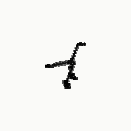 CCCCCCCC/C=C/CCCCCCCCOc1ccc(CNCCCCN(CCCCNC(=O)OC(C)(C)C)C(=O)OC(C)(C)C)cc1OCCCCCCCC/C=C/CCCCCCCC